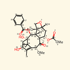 COC(=O)O[C@H]1C[C@H]2OC[C@@]2(OC(C)=O)[C@H]2[C@H](OC(=O)c3ccccc3)[C@]3(O)C[C@H](O)C(C)=C([C@@H](OC)C(=O)[C@]12C)C3(C)C